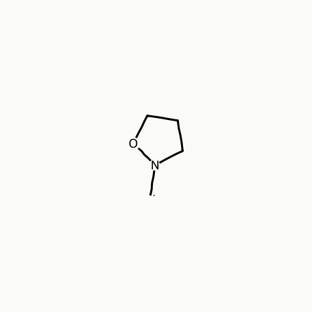 [CH2]N1CCCO1